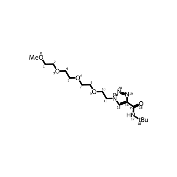 COCCOCCOCCOCCn1cc(C(=O)NC(C)(C)C)nn1